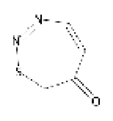 O=C1C=CN=NSC1